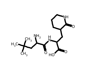 CC(C)(C)CC(N)C(=O)NC(CC1CCCNC1=O)C(=O)O